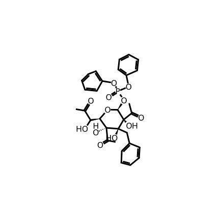 CC(=O)C(O)[C@H]1O[C@@H](OP(=O)(Oc2ccccc2)Oc2ccccc2)[C@](O)(C(C)=O)[C@](O)(Cc2ccccc2)[C@@]1(O)C(C)=O